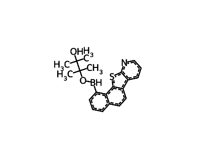 CC(C)(O)C(C)(C)OBc1cccc2ccc3c4cccnc4sc3c12